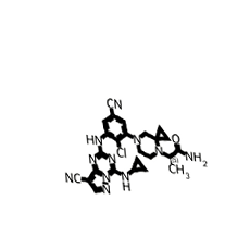 C[C@@H](C(N)=O)N1CCN(c2cc(C#N)cc(Nc3nc(NC4CC4)n4ncc(C#N)c4n3)c2Cl)CC12CC2